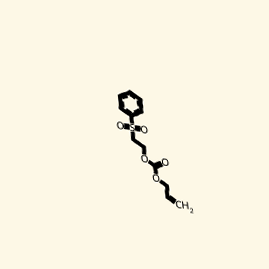 C=CCOC(=O)OCCS(=O)(=O)c1ccccc1